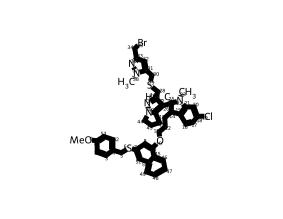 COc1ccc(CSc2cc(OCCCC3c4ccc(Cl)cc4N(C)C3(C(=O)O)c3c(CSCc4cc(CBr)nn4C)nn4c3CCC4)c3ccccc3c2)cc1